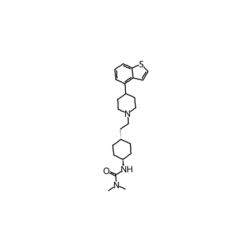 CN(C)C(=O)N[C@H]1CC[C@H](CCN2CCC(c3cccc4sccc34)CC2)CC1